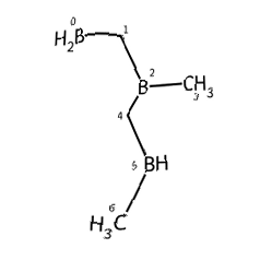 BCB(C)CBC